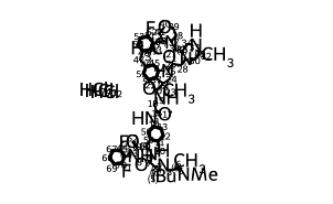 CC[C@H](C)[C@H](NC[C@H](C)NC)C(=O)N1Cc2ccc(NC(=O)CNC(=O)[C@]3(C)CN(C(=O)CN4C[C@@H](C)NC[C@@H]4CN4CCOC[C@H]4C)c4cc(Cc5ccc(F)cc5)ccc43)cc2[C@H]1C(=O)Nc1c(F)cccc1F.Cl.Cl.Cl